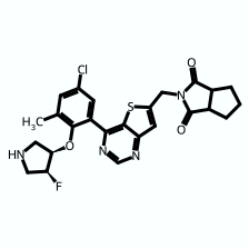 Cc1cc(Cl)cc(-c2ncnc3cc(CN4C(=O)C5CCCC5C4=O)sc23)c1O[C@@H]1CNC[C@@H]1F